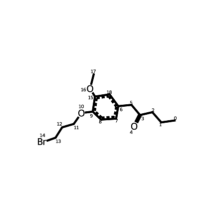 CCCC(=O)Cc1ccc(OCCCBr)c(OC)c1